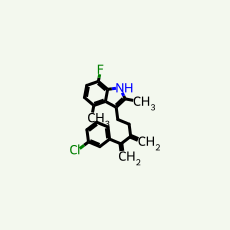 C=C(CCc1c(C)[nH]c2c(F)ccc(C)c12)C(=C)c1cccc(Cl)c1